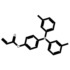 C=CC(=O)Oc1ccc(N(c2cccc(C)c2)c2cccc(C)c2)cc1